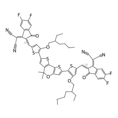 CCCCC(CC)COc1cc(/C=C2\C(=O)c3cc(F)c(F)cc3C2=C(C#N)C#N)sc1-c1cc2c(s1)-c1sc(-c3sc(/C=C4\C(=O)c5cc(F)c(F)cc5C4=C(C#N)C#N)cc3OCC(CC)CCCC)cc1C(C)(C)O2